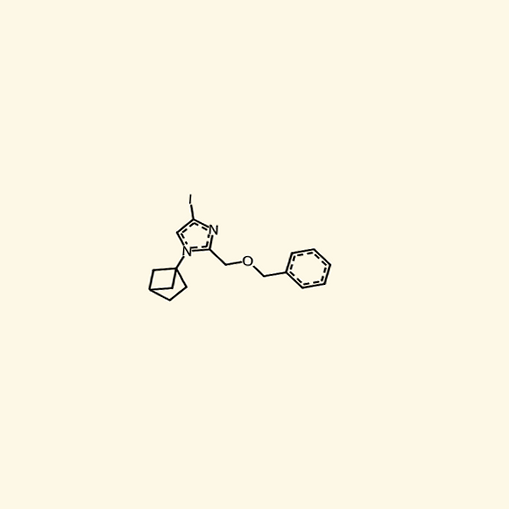 Ic1cn(C23CCC(C2)C3)c(COCc2ccccc2)n1